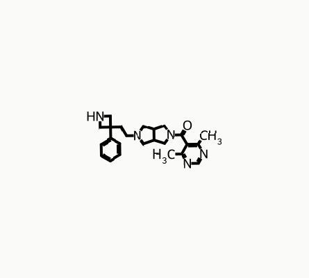 Cc1ncnc(C)c1C(=O)N1CC2CN(CCC3(c4ccccc4)CNC3)CC2C1